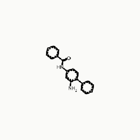 Nc1cc(NC(=O)c2ccccc2)ccc1-c1ccccc1